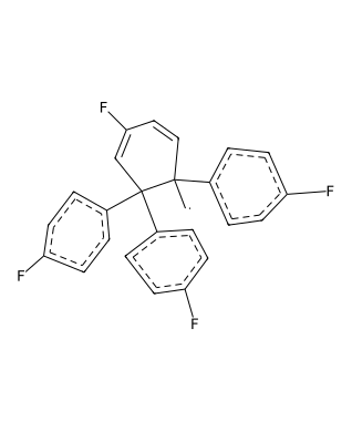 [CH2]C1(c2ccc(F)cc2)C=CC(F)=CC1(c1ccc(F)cc1)c1ccc(F)cc1